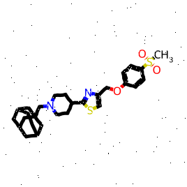 CS(=O)(=O)c1ccc(OCc2csc(C3CCN(CC45CC6CC(CC(C6)C4)C5)CC3)n2)cc1